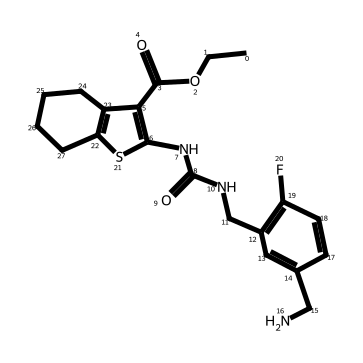 CCOC(=O)c1c(NC(=O)NCc2cc(CN)ccc2F)sc2c1CCCC2